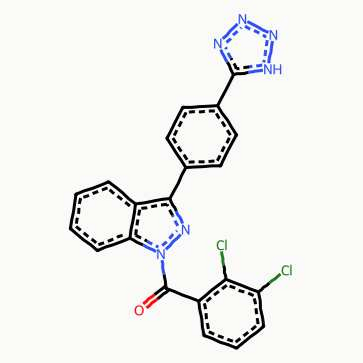 O=C(c1cccc(Cl)c1Cl)n1nc(-c2ccc(-c3nnn[nH]3)cc2)c2ccccc21